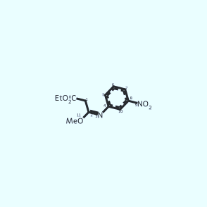 CCOC(=O)CC(=Nc1cccc([N+](=O)[O-])c1)OC